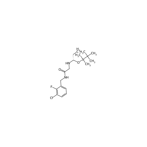 CC[C@@H](NCC(=O)NCc1cccc(Cl)c1F)O[Si](C)(C)C(C)(C)C